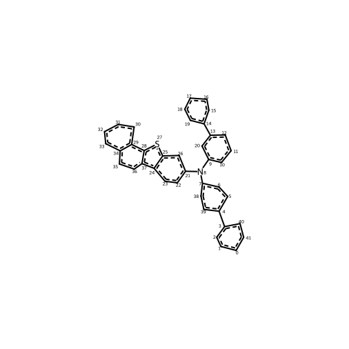 c1ccc(-c2ccc(N(c3cccc(-c4ccccc4)c3)c3ccc4c(c3)sc3c5ccccc5ccc43)cc2)cc1